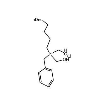 CCCCCCCCCCCCCC[P+](CO)(CO)Cc1ccccc1.[Cl-]